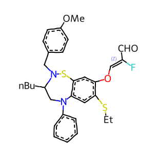 CCCCC1CN(c2ccccc2)c2cc(SCC)c(O/C=C(\F)C=O)cc2SN1Cc1ccc(OC)cc1